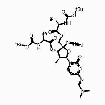 CC(C)[C@H](NC(=O)OC(C)(C)C)C(=O)O[C@H]1[C@H](C)[C@H](n2ccc(/N=C/N(C)C)nc2=O)O[C@@]1(COC(=O)[C@H](NC(=O)OC(C)(C)C)C(C)C)N=[N+]=[N-]